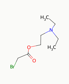 CCN(CC)CCOC(=O)CBr